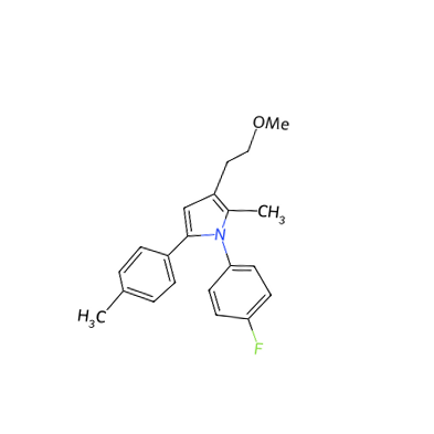 COCCc1cc(-c2ccc(C)cc2)n(-c2ccc(F)cc2)c1C